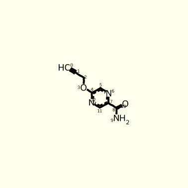 C#CCOc1cnc(C(N)=O)cn1